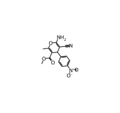 COC(=O)C1=C(C)OC(N)=C(C#N)C1c1ccc([N+](=O)[O-])cc1